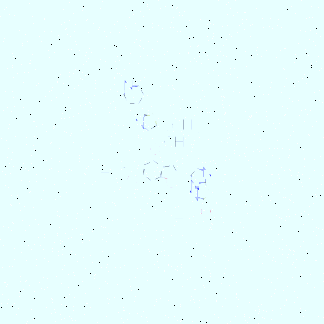 COc1cc(OCc2nc(-c3ccnc(F)c3)sc2C(C)C)c2cc(-c3cnc4sc(OC)nn34)oc2c1